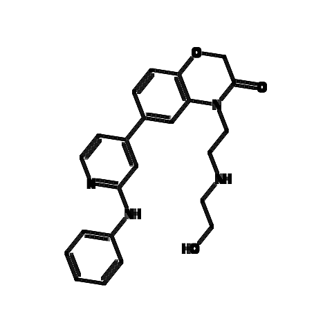 O=C1COc2ccc(-c3ccnc(Nc4ccccc4)c3)cc2N1CCNCCO